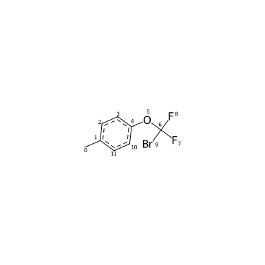 Cc1ccc(OC(F)(F)Br)cc1